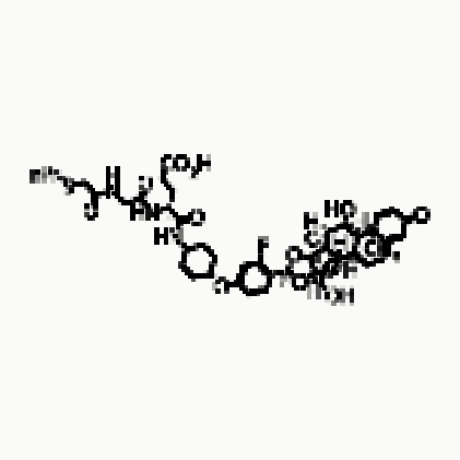 CCCSCC(=O)NCC(=O)N[C@@H](CCC(=O)O)C(=O)NC1CCC(Oc2ccc([C@@H]3O[C@@H]4C[C@H]5[C@@H]6CCC7=CC(=O)C=C[C@]7(C)[C@H]6[C@@H](O)C[C@]5(C)[C@]4(C(=O)CO)O3)c(F)c2)CC1